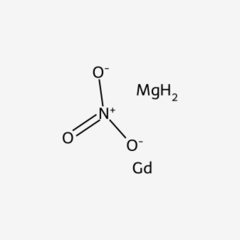 O=[N+]([O-])[O-].[Gd].[MgH2]